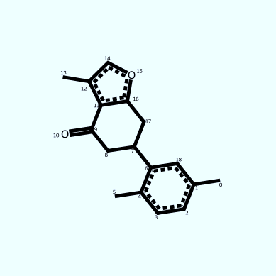 Cc1ccc(C)c(C2CC(=O)c3c(C)coc3C2)c1